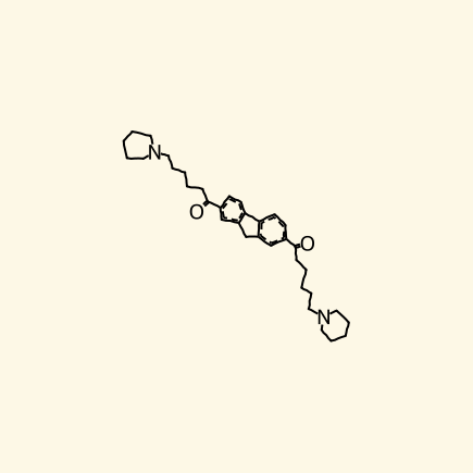 O=C(CCCCCN1CCCCC1)c1ccc2c(c1)Cc1cc(C(=O)CCCCCN3CCCCC3)ccc1-2